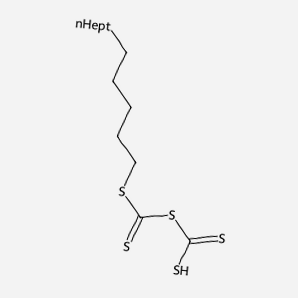 CCCCCCCCCCCCSC(=S)SC(=S)S